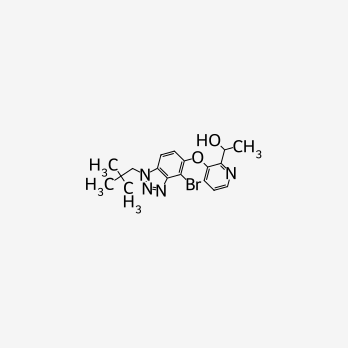 CC(O)c1ncccc1Oc1ccc2c(nnn2CC(C)(C)C)c1Br